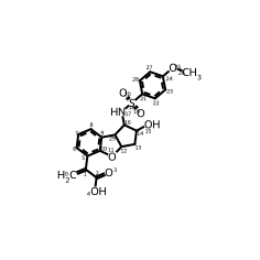 C=C(C(=O)O)c1cccc2c1OC1CC(O)C(NS(=O)(=O)c3ccc(OC)cc3)C21